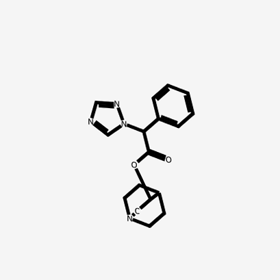 O=C(OC1CN2CCC1CC2)C(c1ccccc1)n1cncn1